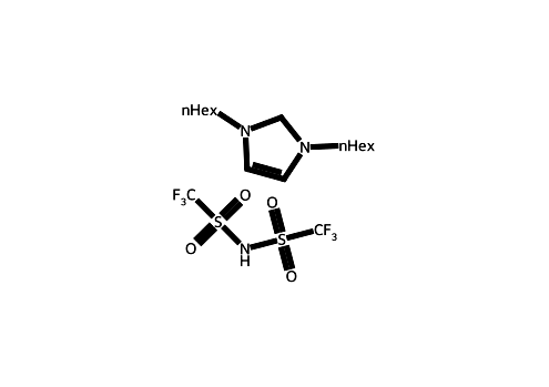 CCCCCCN1C=CN(CCCCCC)C1.O=S(=O)(NS(=O)(=O)C(F)(F)F)C(F)(F)F